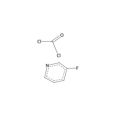 Fc1cccnc1.O=C(Cl)Cl